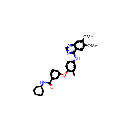 COc1cc2ncnc(Nc3ccc(Oc4cccc(C(=O)NC5CCCCC5)c4)c(C)c3)c2cc1OC